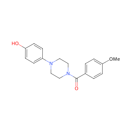 COc1ccc(C(=O)N2CCN(c3ccc(O)cc3)CC2)cc1